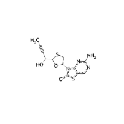 CC#CC(O)[C@H]1O[C@@H](n2c(=O)sc3cnc(N)nc32)CS1